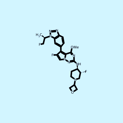 COc1nc(N[C@@H]2CCN(C3COC3)C[C@H]2F)nn2cc(F)c(-c3ccc4nnn([C@H](C)CF)c4c3)c12